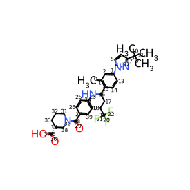 Cc1cc(-n2ccc(C(C)(C)C)n2)ccc1C(CCC(F)(F)F)Nc1ccc(C(=O)N2CCC[C@@H](C(=O)O)C2)cc1